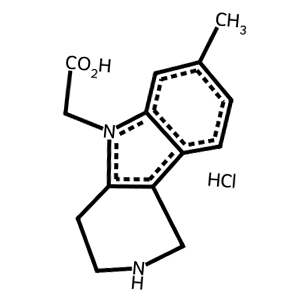 Cc1ccc2c3c(n(CC(=O)O)c2c1)CCNC3.Cl